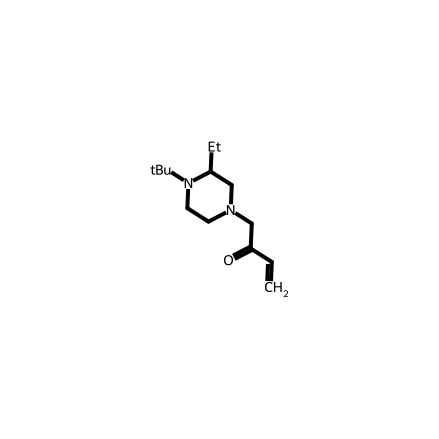 C=CC(=O)CN1CCN(C(C)(C)C)C(CC)C1